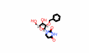 O=c1ccn([C@@H]2O[C@H](CO)[C@@H](O)[C@H]2OCc2ccccc2)c(=O)[nH]1